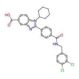 O=C(O)c1ccc2c(c1)nc(-c1ccc(C(=O)NCc3ccc(Cl)c(Cl)c3)cc1)n2C1CCCCC1